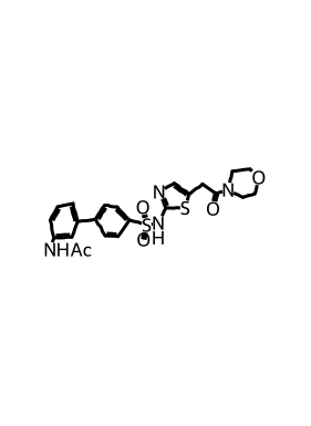 CC(=O)Nc1cccc(-c2ccc(S(=O)(=O)Nc3ncc(CC(=O)N4CCOCC4)s3)cc2)c1